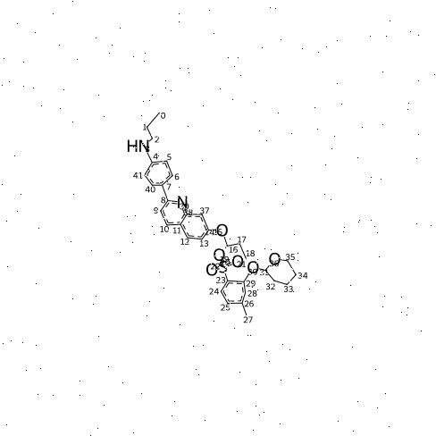 CCCNc1ccc(-c2ccc3ccc(OC(CC)OS(=O)(=O)c4ccc(C)cc4OC4CCCCO4)cc3n2)cc1